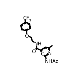 CC(=O)Nc1cc(C(=O)NCCOc2ccc(C(F)(F)F)cc2)cc(C)n1